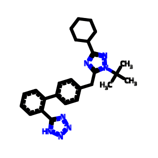 CC(C)(C)n1nc(C2CCCCC2)nc1Cc1ccc(-c2ccccc2-c2nnn[nH]2)cc1